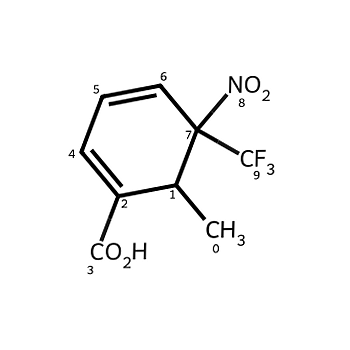 CC1C(C(=O)O)=CC=CC1([N+](=O)[O-])C(F)(F)F